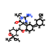 CN1C(=O)C2(C[C@H](C3CCOC(C)(C)C3)Oc3ccc(-c4cccc(C#N)c4)cc32)N=C1N